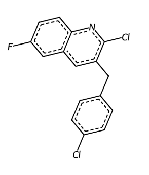 Fc1ccc2nc(Cl)c(Cc3ccc(Cl)cc3)cc2c1